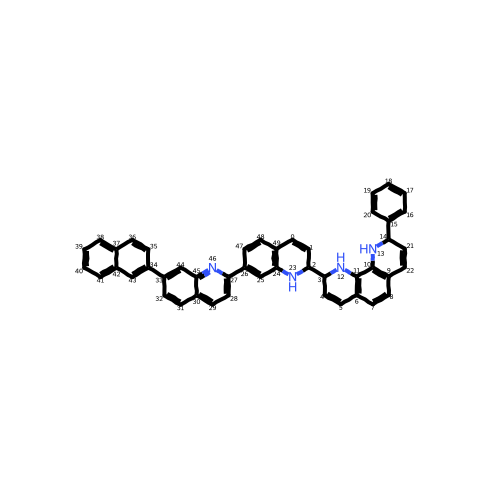 C1=CC(C2C=Cc3ccc4c(c3N2)NC(c2ccccc2)C=C4)Nc2cc(-c3ccc4ccc(-c5ccc6ccccc6c5)cc4n3)ccc21